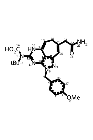 COc1ccc(Cn2nc3c4c2N=C(N(C(=O)O)C(C)(C)C)NC4=CCC(CC(N)=O)=C3)cc1